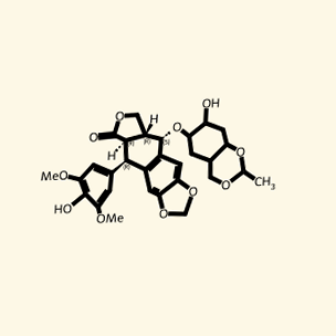 COc1cc([C@@H]2c3cc4c(cc3[C@@H](OC3CC5COC(C)OC5CC3O)[C@H]3COC(=O)[C@H]23)OCO4)cc(OC)c1O